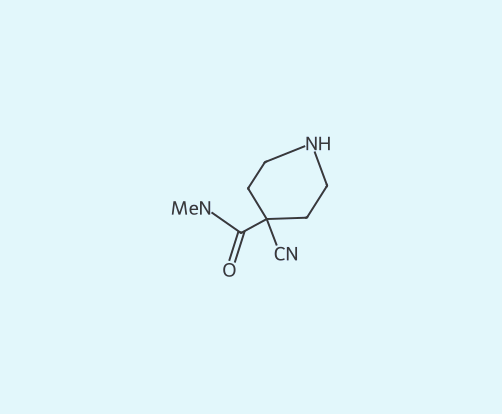 CNC(=O)C1(C#N)CCNCC1